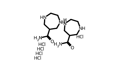 Cl.Cl.Cl.Cl.Cl.NC(=O)C1CNCCNC1.NC(=O)C1CNCCNC1